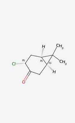 CC1(C)[C@@H]2C[C@@H](Cl)C(=O)C[C@@H]21